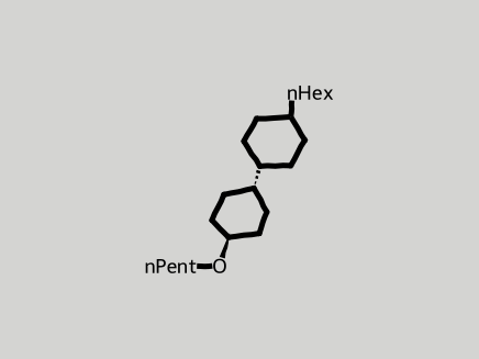 CCCCCCC1CCC([C@H]2CC[C@H](OCCCCC)CC2)CC1